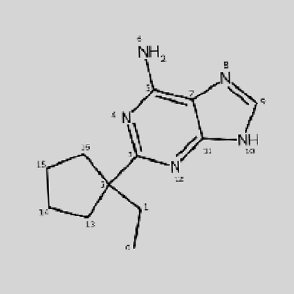 CCC1(c2nc(N)c3nc[nH]c3n2)CCCC1